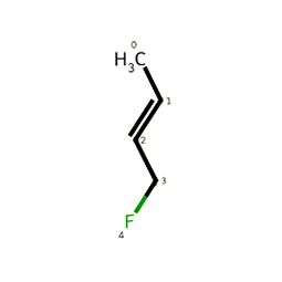 CC=C[CH]F